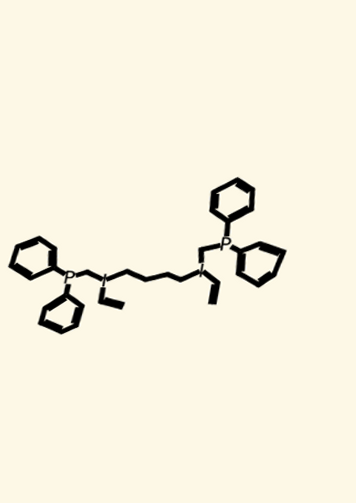 C=CI(CCCCI(C=C)CP(c1ccccc1)c1ccccc1)CP(c1ccccc1)c1ccccc1